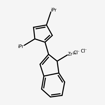 CC(C)C1=CC(C(C)C)C(C2=Cc3ccccc3[CH]2[Zr+2])=C1.[Cl-].[Cl-]